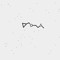 CSCCOCC1CC1